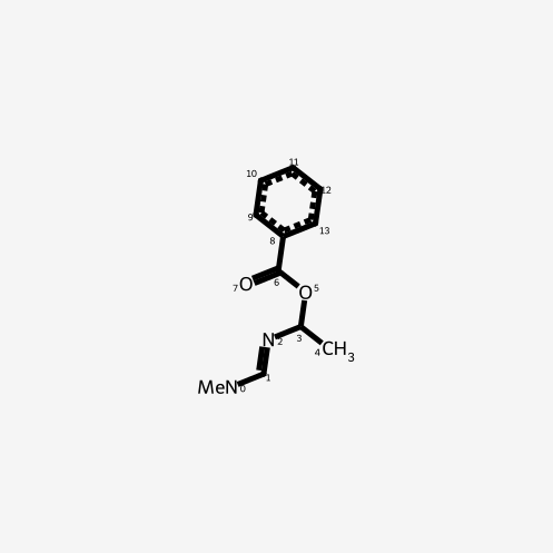 CNC=NC(C)OC(=O)c1ccccc1